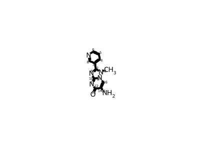 Cn1c(-c2cccnc2)nc2nc(=O)c(N)cn21